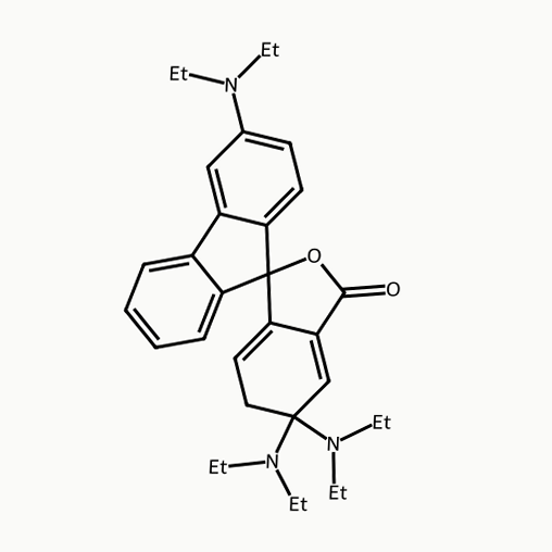 CCN(CC)c1ccc2c(c1)-c1ccccc1C21OC(=O)C2=CC(N(CC)CC)(N(CC)CC)CC=C21